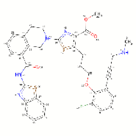 CNCC#Cc1cccc(F)c1OCCCc1sc(N2CCc3cccc(C(=O)Nc4nc5ccccc5s4)c3C2)nc1C(=O)OC